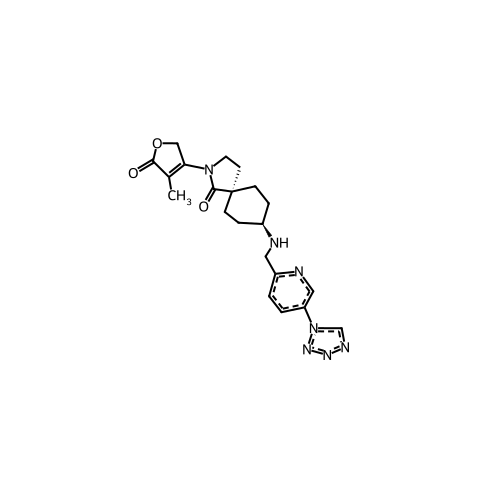 CC1=C(N2CC[C@]3(CC[C@H](NCc4ccc(-n5cnnn5)cn4)CC3)C2=O)COC1=O